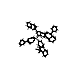 CC1(C)c2ccccc2-c2ccc(N(c3ccc(-c4ccccc4)cc3)c3cc(-c4ccc5ccccc5c4)cc4c3oc3c5ccccc5c(-c5ccccc5)cc43)cc21